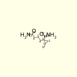 CC1CC1(CCCC(N)=O)C(N)=O